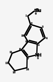 CC(C)(C)Cc1ccc2[nH]c3c(c2c1)CCCC3